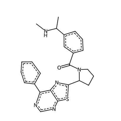 CNC(C)c1cccc(C(=O)N2CCCC2c2nc3c(-c4ccccc4)ncnc3s2)c1